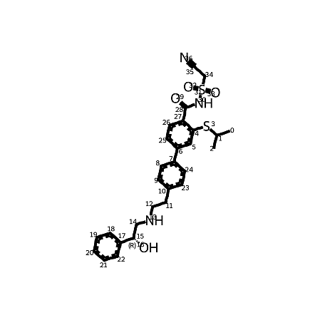 CC(C)Sc1cc(-c2ccc(CCNC[C@H](O)c3ccccc3)cc2)ccc1C(=O)NS(=O)(=O)CC#N